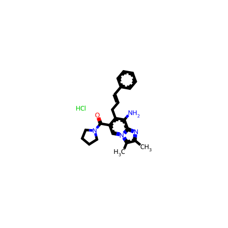 Cc1nc2c(N)c(C/C=C/c3ccccc3)c(C(=O)N3CCCC3)cn2c1C.Cl